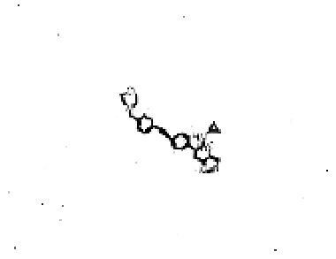 Oc1cncnc1CC(CNC1CC1)c1ccc(C#Cc2ccc(CN3CCOCC3)cc2)cc1